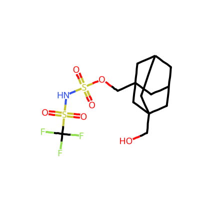 O=S(=O)(NS(=O)(=O)C(F)(F)F)OCC12CC3CC(CC(CO)(C3)C1)C2